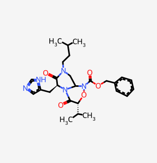 CC(C)CCN1CC2N(C(=O)OCc3ccccc3)O[C@H](C(C)C)C(=O)N2[C@@H](Cc2cnc[nH]2)C1=O